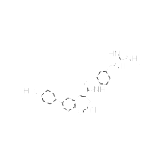 Cc1ccc(-c2ccc3c(c2)C=C(C(=O)Nc2ccc(CNC(=N)N)cc2)CCO3)cc1.Cl